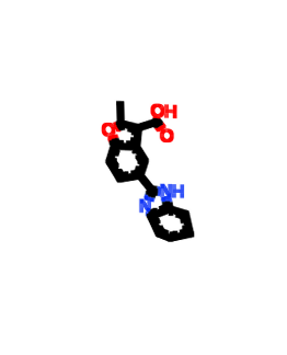 Cc1oc2ccc(-c3nc4ccccc4[nH]3)cc2c1C(=O)O